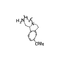 COc1ccc2c(c1)CCN(C)C2CN